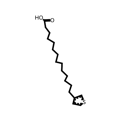 O=C(O)CCCCCCCCCCCCCc1ccsc1